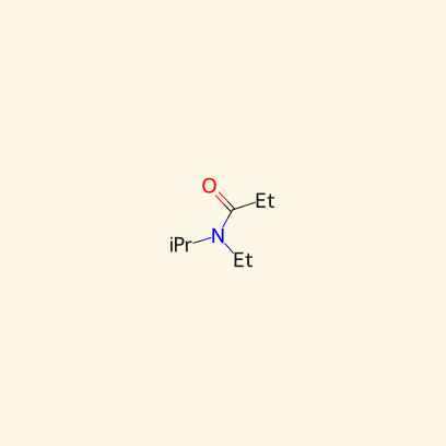 [CH2]C(C)N(CC)C(=O)CC